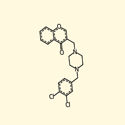 O=c1c(CN2CCN(Cc3ccc(Cl)c(Cl)c3)CC2)coc2ccccc12